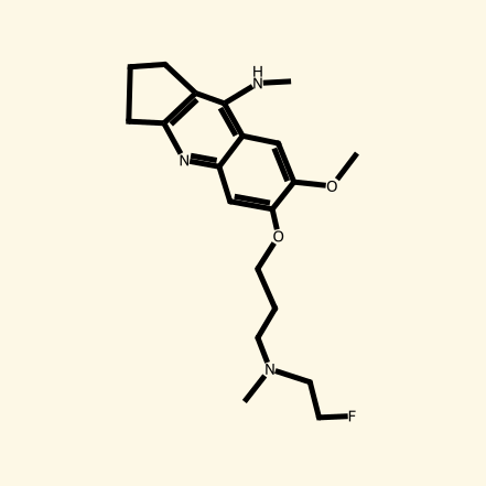 CNc1c2c(nc3cc(OCCCN(C)CCF)c(OC)cc13)CCC2